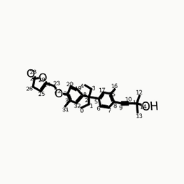 CCC(CC)(c1ccc(C#CC(C)(C)O)c(C)c1)c1ccc(OCC2=CCC(=O)O2)c(C)c1